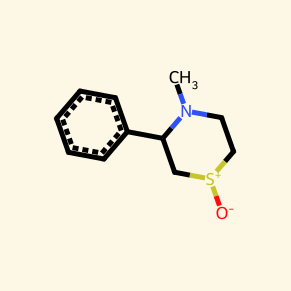 CN1CC[S+]([O-])CC1c1ccccc1